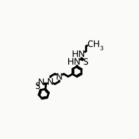 CCCNC(=S)Nc1cccc(CCN2CCN(c3nsc4ccccc34)CC2)c1